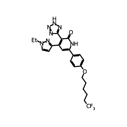 CCn1ccc(-c2cc(-c3ccc(OCCCCCC(F)(F)F)cc3)[nH]c(=O)c2-c2nn[nH]n2)n1